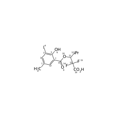 Cc1cc(I)c(O)c(C(=O)OC(C(C)C)C(F)(F)C(=O)O)c1